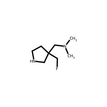 CN(C)CC1(CF)CCNC1